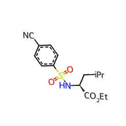 CCOC(=O)[C@H](CC(C)C)NS(=O)(=O)c1ccc(C#N)cc1